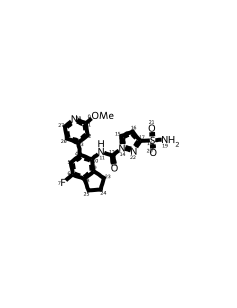 COc1cc(-c2cc(F)c3c(c2NC(=O)n2ccc(S(N)(=O)=O)n2)CCC3)ccn1